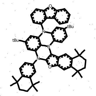 CC(C)(C)c1ccc2c(c1)N(c1cccc3oc4ccccc4c13)c1cc(C(C)(C)C)cc3c1B2c1c(oc2cc4c(cc12)C(C)(C)CCC4(C)C)N3c1ccc2c(c1)C(C)(C)CCC2(C)C